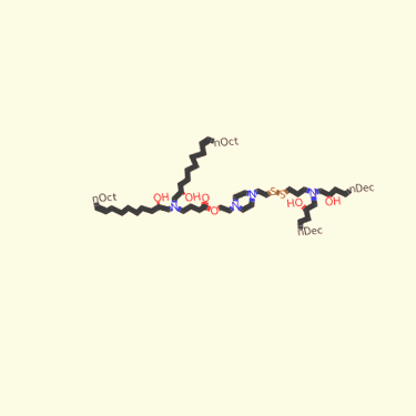 CCCCCCCC/C=C\CCCCCC[C@@H](O)CN(CCCC(=O)OCCN1CCN(CCSSCCCN(CC(O)CCCCCCCCCCCC)CC(O)CCCCCCCCCCCC)CC1)C[C@H](O)CCCCCC/C=C\CCCCCCCC